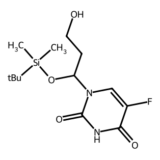 CC(C)(C)[Si](C)(C)OC(CCO)n1cc(F)c(=O)[nH]c1=O